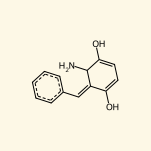 NC1C(O)=CC=C(O)C1=Cc1ccccc1